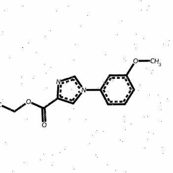 CCOC(=O)c1cn(-c2cccc(OC)c2)cn1